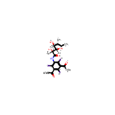 CNC(=O)c1c(I)c(NC(=O)[C@@](O)(C(C)=O)[C@](O)(C(C)=O)[C@@](O)(C(C)=O)[C@@H](COC(C)=O)OC(C)=O)c(I)c(C(=O)NC)c1I